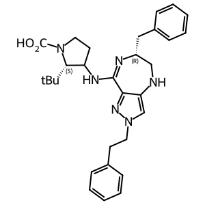 CC(C)(C)[C@H]1C(NC2=N[C@H](Cc3ccccc3)CNc3cn(CCc4ccccc4)nc32)CCN1C(=O)O